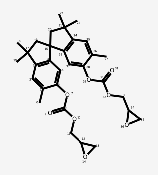 Cc1cc2c(cc1OC(=O)OCC1CO1)C1(CC2(C)C)CC(C)(C)c2cc(C)c(OC(=O)OCC3CO3)cc21